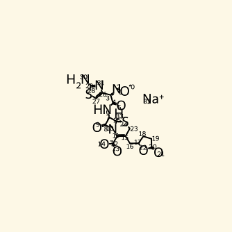 CO/N=C(\C(=O)N[C@@H]1C(=O)N2C(C(=O)[O-])=C(CC3CCC(=O)O3)CS[C@@H]12)c1csc(N)n1.[Na+]